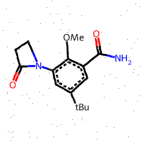 COc1c(C(N)=O)cc(C(C)(C)C)cc1N1CCC1=O